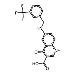 O=C(O)c1c[nH]c2ccc(NCc3cccc(C(F)(F)F)c3)cc2c1=O